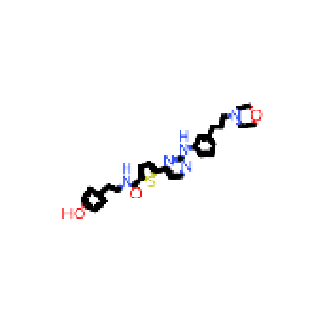 O=C(NCCc1ccc(O)cc1)c1ccc(-c2ccnc(Nc3cccc(CCCN4CCOCC4)c3)n2)s1